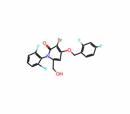 O=c1c(Br)c(OCc2ccc(F)cc2F)cc(CO)n1-c1c(F)cccc1F